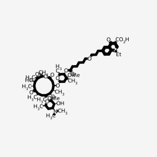 CCn1cc(C(=O)O)c(=O)c2cc(CCCOCCCCCC(=O)O[C@H]3[C@H](C)O[C@@H](O[C@@H]4CC(=O)O[C@H](C)[C@@](C)(O)[C@H](O)[C@@H](C)C(=O)[C@H](C)C[C@@](C)(OC)[C@H](O[C@@H]5O[C@H](C)C[C@H](N(C)C)[C@H]5O)[C@H]4C)C[C@@]3(C)OC)ccc21